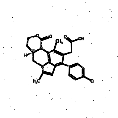 Cc1c(CC(=O)O)c(-c2ccc(Cl)cc2)c2cc(C)n3c2c1N1C(=O)OCC[C@@H]1C3